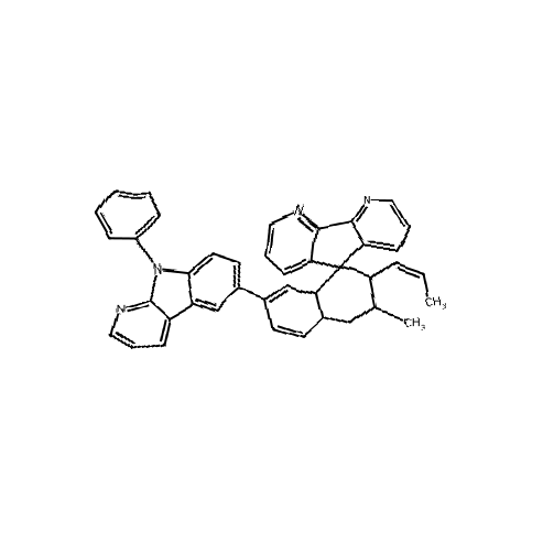 C/C=C\C1C(C)CC2C=CC(c3ccc4c(c3)c3cccnc3n4-c3ccccc3)=CC2C12c1cccnc1-c1ncccc12